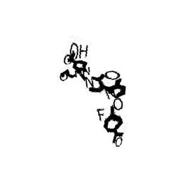 O=C(O)c1ccc2nc(CN3CCC4c5nc(OCC6=CC=C(C7COC7)CC=C6F)ccc5COCC4C3)n(CC3CCO3)c2c1